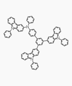 c1ccc(N(c2ccc(-c3cc(-c4ccc5c(c4)c4ccccc4n5-c4ccccc4)cc(-c4ccc5c(c4)c4ccccc4n5-c4ccccc4)c3)cc2)c2ccc3c(c2)c2ccccc2n3-c2ccccc2)cc1